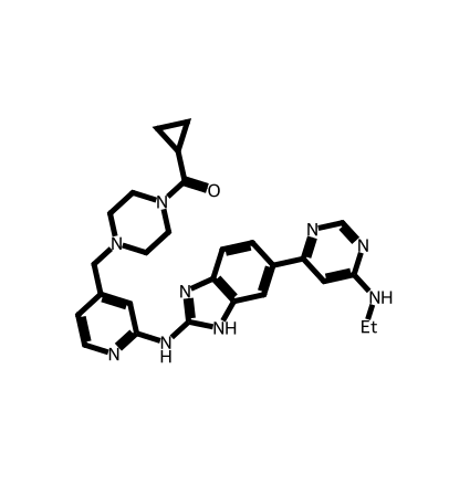 CCNc1cc(-c2ccc3nc(Nc4cc(CN5CCN(C(=O)C6CC6)CC5)ccn4)[nH]c3c2)ncn1